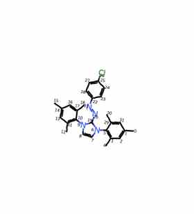 Cc1cc(C)c(N2C=CN(c3c(C)cc(C)cc3C)C2N=Nc2ccc(Cl)cc2)c(C)c1